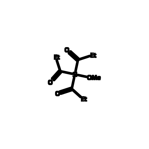 CCC(=O)[Si](OC)(C(=O)CC)C(=O)CC